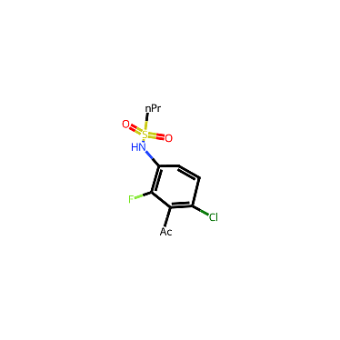 CCCS(=O)(=O)Nc1ccc(Cl)c(C(C)=O)c1F